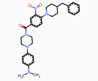 CN(C)c1ccc(N2CCN(C(=O)c3ccc(N4CCC(Cc5ccccc5)CC4)c([N+](=O)[O-])c3)CC2)cc1